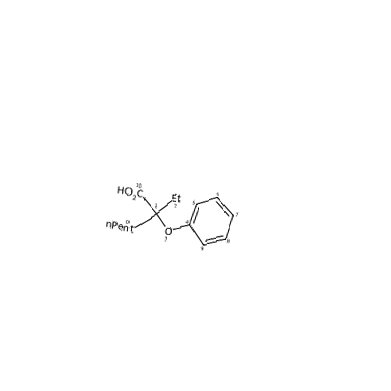 CCCCCC(CC)(Oc1ccccc1)C(=O)O